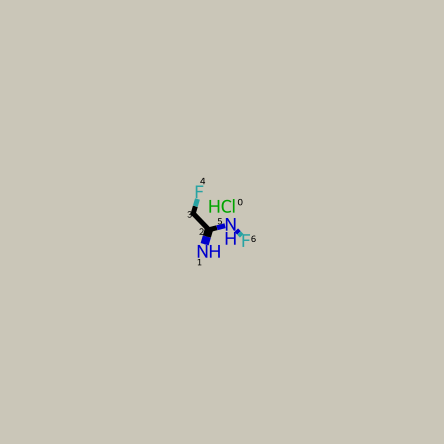 Cl.N=C(CF)NF